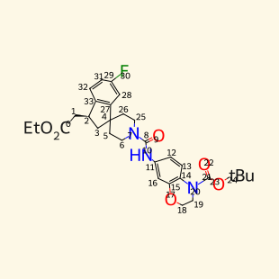 CCOC(=O)C[C@@H]1CC2(CCN(C(=O)Nc3ccc4c(c3)OCCN4C(=O)OC(C)(C)C)CC2)c2cc(F)ccc21